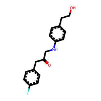 O=C(CNc1ccc(CCO)cc1)Cc1ccc(F)cc1